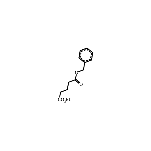 CCOC(=O)[CH]CCC(=O)OCc1ccccc1